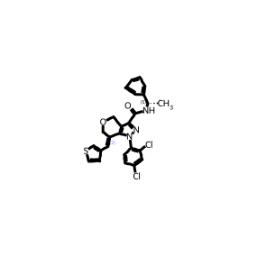 C[C@H](NC(=O)c1nn(-c2ccc(Cl)cc2Cl)c2c1COC/C2=C\c1ccsc1)c1ccccc1